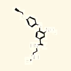 C#CCOc1ccc(Sc2ccc(C(=O)NCCNCC)cc2[N+](=O)[O-])cc1